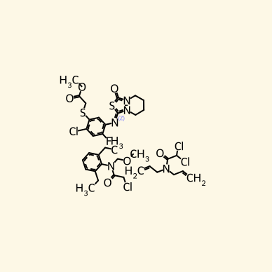 C=CCN(CC=C)C(=O)C(Cl)Cl.CCc1cccc(CC)c1N(COC)C(=O)CCl.COC(=O)CSc1cc(/N=c2\sc(=O)n3n2CCCC3)c(F)cc1Cl